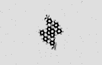 Cc1cc([Si](C)(C)C)ccc1N(c1cc(-c2ccccc2)ccc1C)c1ccc2ccc3c(N(c4ccc([Si](C)(C)C)cc4C)c4cc(-c5ccccc5)ccc4C)ccc4ccc1c2c43